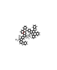 CC1(C)c2cc(N(c3ccc4c(c3)C(C)(C)c3cc(-c5ccccc5-c5ccccc5)c5oc6ccccc6c5c3-4)c3ccccc3-c3ccccc3)ccc2-c2cc3c(cc21)-c1c(ccc2oc4ccccc4c12)C3(C)C